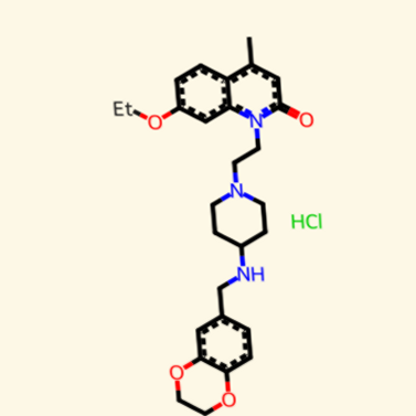 CCOc1ccc2c(C)cc(=O)n(CCN3CCC(NCc4ccc5c(c4)OCCO5)CC3)c2c1.Cl